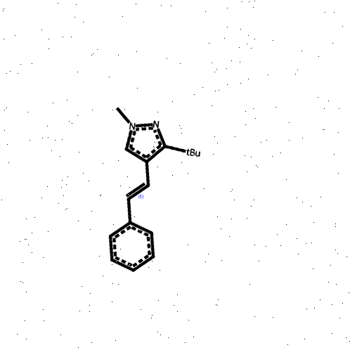 Cn1cc(/C=C/c2ccccc2)c(C(C)(C)C)n1